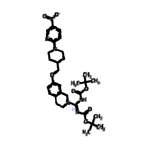 CC(C)(C)OC(=O)/N=C(\NC(=O)OC(C)(C)C)N1CCc2ccc(OCC3CCN(c4ccc([N+](=O)[O-])cn4)CC3)cc2C1